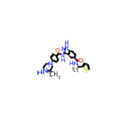 CCC(NC(=O)c1ccc2[nH]nc(NC(=O)c3ccc(N4CCN[C@H](C)C4)cc3)c2c1)c1cccs1